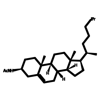 CC(=O)N[C@H]1CC[C@@]2(C)C(=CC[C@H]3[C@@H]4CC[C@H]([C@H](C)CCCC(C)C)[C@@]4(C)CC[C@@H]32)C1